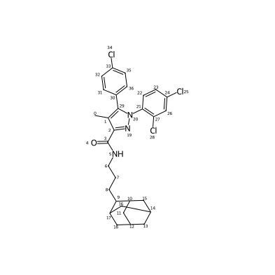 Cc1c(C(=O)NCCCC2C3CC4CC(C3)CC2C4)nn(-c2ccc(Cl)cc2Cl)c1-c1ccc(Cl)cc1